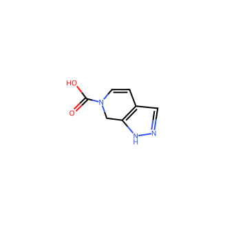 O=C(O)N1C=Cc2cn[nH]c2C1